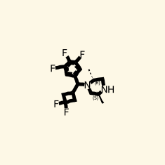 C[C@@H]1CN[C@@H](C)CN1C(c1cc(F)c(F)c(F)c1)C1CC(F)(F)C1